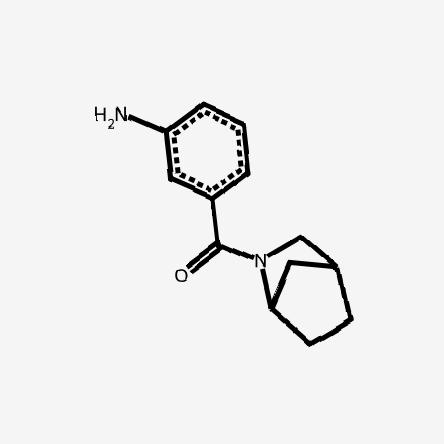 Nc1cccc(C(=O)N2CC3CCC2C3)c1